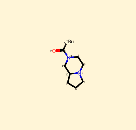 CC(C)(C)C(=O)N1CCN2CCCC2C1